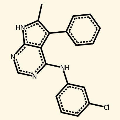 Cc1[nH]c2ncnc(Nc3cccc(Cl)c3)c2c1-c1ccccc1